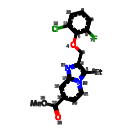 CCc1c(COc2c(F)cccc2Cl)nc2cc(C(=O)OC)ccn12